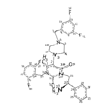 Cc1c(N2CCN(Cc3cc(F)cc(F)c3)CC2)c(=O)n(C[C@H](N)c2ccccc2)c(=O)n1Cc1c(F)cccc1F